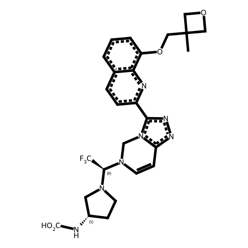 CC1(COc2cccc3ccc(-c4nnc5n4CN([C@@H](N4CC[C@H](NC(=O)O)C4)C(F)(F)F)C=C5)nc23)COC1